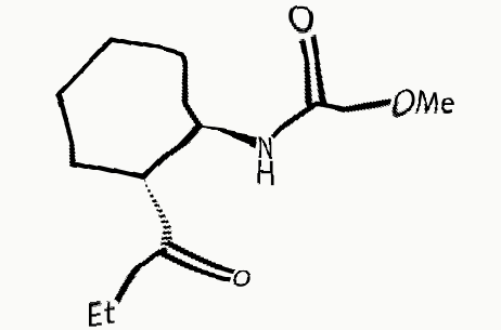 CCC(=O)[C@@H]1CCCC[C@H]1NC(=O)OC